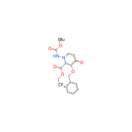 CC(C)(C)OC(=O)Nn1ccc(=O)c(OCc2ccccc2)c1C(=O)OCC(F)(F)F